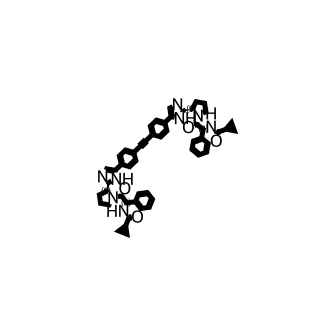 O=C(N[C@@H](C(=O)N1CCC[C@H]1c1ncc(-c2ccc(C#Cc3ccc(-c4cnc([C@@H]5CCCN5C(=O)[C@H](NC(=O)C5CC5)c5ccccc5)[nH]4)cc3)cc2)[nH]1)c1ccccc1)C1CC1